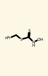 CCCCSC(=S)NO